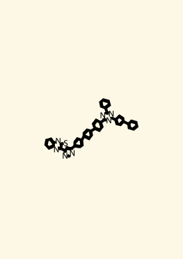 c1ccc(-c2ccc(-c3nc(-c4ccccc4)nc(-c4ccc(-c5ccc(-c6ccc(-c7ncnc8c7sc7nc9ccccc9nc78)cc6)cc5)cc4)n3)cc2)cc1